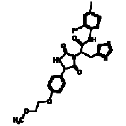 COCCOc1ccc(C2NC(=O)N(C(Cc3cscn3)C(=O)Nc3ccc(I)cc3F)C2=O)cc1